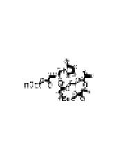 C=C(C)C(=O)OCCOC(=O)CC(C)=O.C=CC(=O)OCCCCCCCC.C=CC(=O)OCCCCCCCCCC.C=CN1CCCC1=O